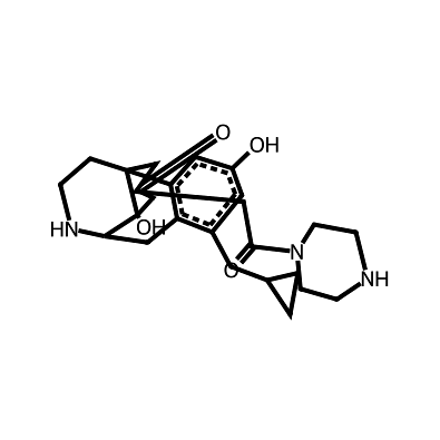 O=C1CC23CCNC(Cc4c(CC5CC5)cc(O)cc42)C3(O)CC1CC(=O)N1CCNCC1